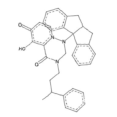 CC(CCN1CN(C23c4ccccc4CC2Cc2ccccc23)n2ccc(=O)c(O)c2C1=O)c1ccccc1